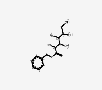 C=C(OCc1ccccc1)C(O)C(O)C(O)C(O)CO